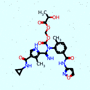 Cc1ccc(C(=O)Nc2ccon2)cc1N(C(=N)c1[nH]cc(C(=O)NC2CC2)c1C)C(=O)OCOC(=O)C(C)O